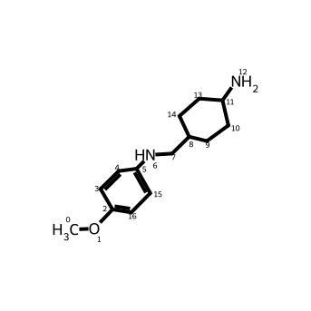 COc1ccc(NCC2CCC(N)CC2)cc1